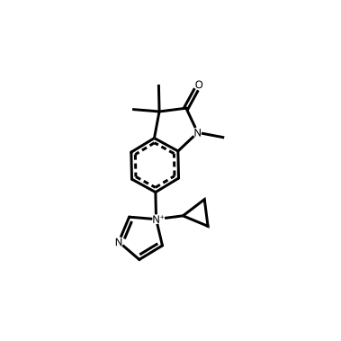 CN1C(=O)C(C)(C)c2ccc([N+]3(C4CC4)C=CN=C3)cc21